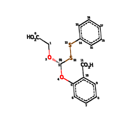 O=C(O)CO[C@@H](Oc1ccccc1C(=O)O)SSc1ccccc1